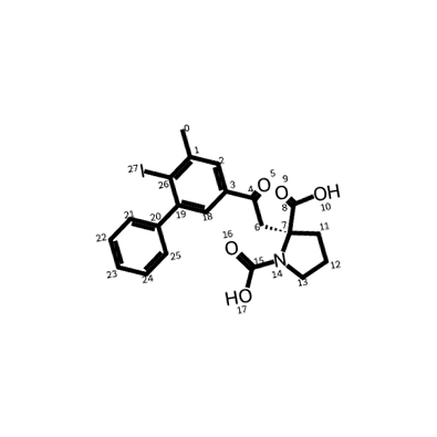 Cc1cc(C(=O)C[C@]2(C(=O)O)CCCN2C(=O)O)cc(-c2ccccc2)c1I